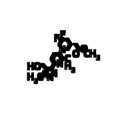 COC(=O)C[C@@H]1CN(c2ccc(-c3nnn(C)c3CO)nc2C)CC(F)(F)C1